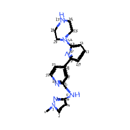 Cn1ccc(Nc2cc(-c3cccc(N4CCNCC4)n3)ccn2)n1